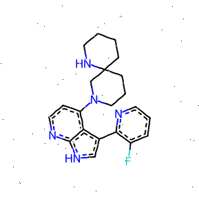 Fc1cccnc1-c1c[nH]c2nccc(N3CCCC4(CCCCN4)C3)c12